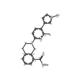 CCn1ccc(-c2ccc(N3CCc4cccc(C(=O)NC)c4C3)nc2C)c1